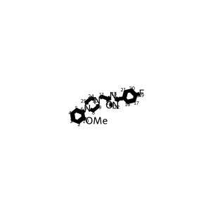 COc1ccccc1N1CCN(Cc2nc(-c3ccc(F)cc3)no2)CC1